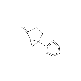 O=C1CCC2(c3ccccc3)CC12